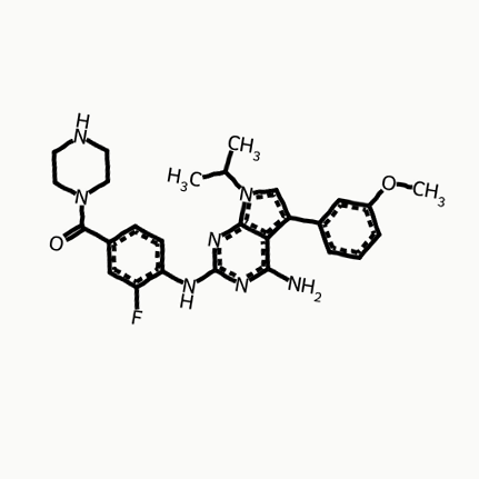 COc1cccc(-c2cn(C(C)C)c3nc(Nc4ccc(C(=O)N5CCNCC5)cc4F)nc(N)c23)c1